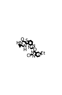 CCN1CCc2nc(Cl)nc(Oc3cnc4c(ccc5sc6c(c54)NCC4(CC4)NC6=O)n3)c2C1